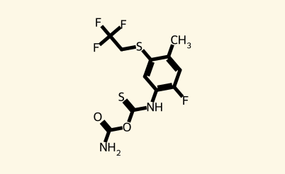 Cc1cc(F)c(NC(=S)OC(N)=O)cc1SCC(F)(F)F